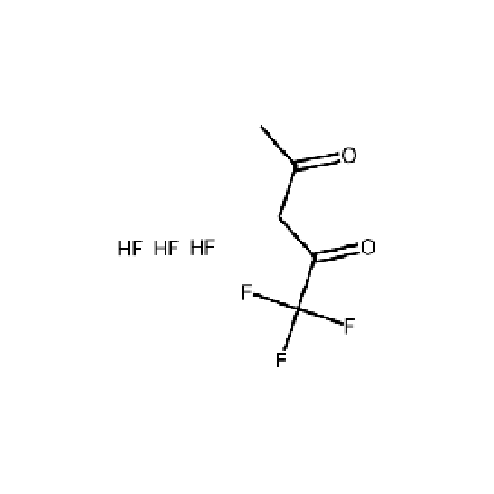 CC(=O)CC(=O)C(F)(F)F.F.F.F